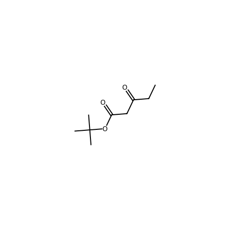 CCC(=O)CC(=O)OC(C)(C)C